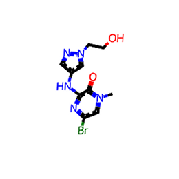 Cn1cc(Br)nc(Nc2cnn(CCO)c2)c1=O